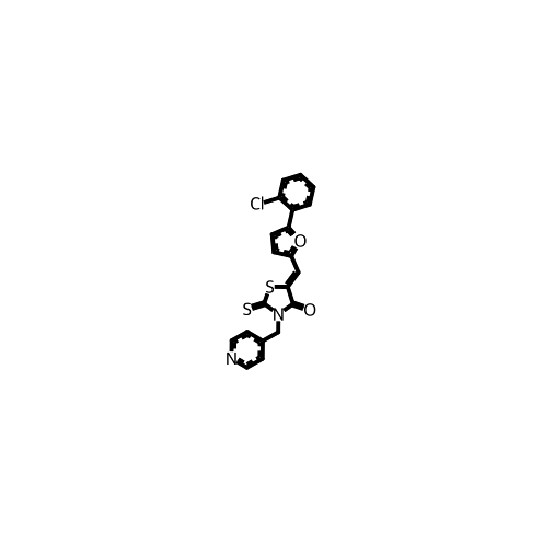 O=C1C(=Cc2ccc(-c3ccccc3Cl)o2)SC(=S)N1Cc1ccncc1